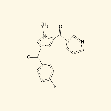 Cn1cc(C(=O)c2ccc(F)cc2)cc1C(=O)c1cccnc1